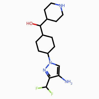 Nc1cn(C2CCC(C(O)C3CCNCC3)CC2)nc1C(F)F